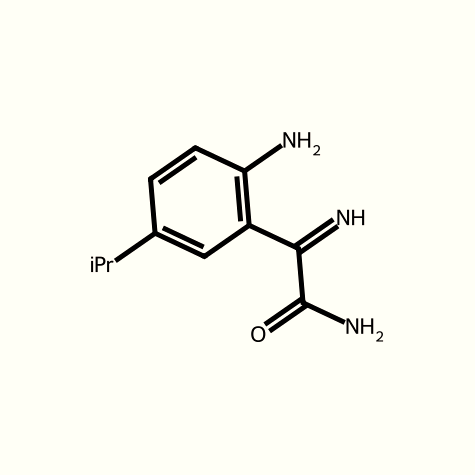 CC(C)c1ccc(N)c(C(=N)C(N)=O)c1